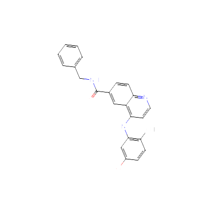 Cc1ccc(O)cc1Nc1ccnc2ccc(C(=O)NCc3ccccc3)cc12